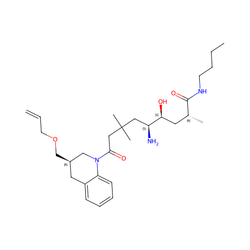 C=CCOC[C@@H]1Cc2ccccc2N(C(=O)CC(C)(C)C[C@H](N)[C@@H](O)C[C@@H](C)C(=O)NCCCC)C1